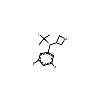 CC(C)(F)[C@H](c1cc(F)cc(F)c1)C1CNC1